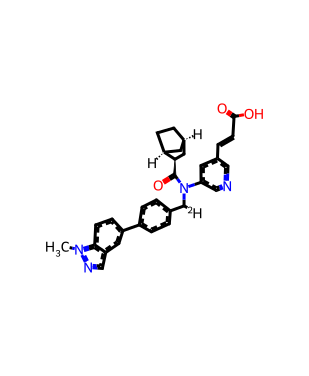 [2H]C(c1ccc(-c2ccc3c(cnn3C)c2)cc1)N(C(=O)[C@@H]1C[C@@H]2CC[C@H]1C2)c1cncc(/C=C/C(=O)O)c1